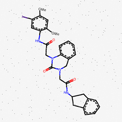 COc1cc(OC)c(NC(=O)CN2C(=O)N(CC(=O)NC3Cc4ccccc4C3)Cc3ccccc32)cc1I